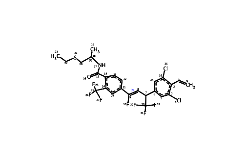 C=Cc1c(Cl)cc(C(/C=C(\F)c2ccc(C(=O)N[C@H](C)CSCC)c(C(F)(F)F)c2)C(F)(F)F)cc1Cl